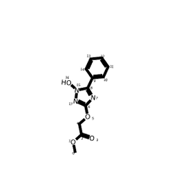 COC(=O)COc1nc(-c2ccccc2)n(O)n1